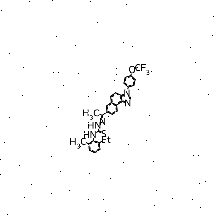 CCc1cccc(C)c1NC(=S)NN=C(C)c1ccc2c(ccc3c2ncn3-c2ccc(OC(F)(F)F)cc2)c1